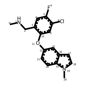 CNCc1cc(F)c(Cl)cc1Oc1ccc2c(ccn2C)c1